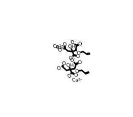 C=CCOC(C(=O)[O-])C(O)(CC(=O)[O-])C(=O)[O-].C=CCOC(C(=O)[O-])C(O)(CC(=O)[O-])C(=O)[O-].[Ca+2].[Ca+2].[Ca+2]